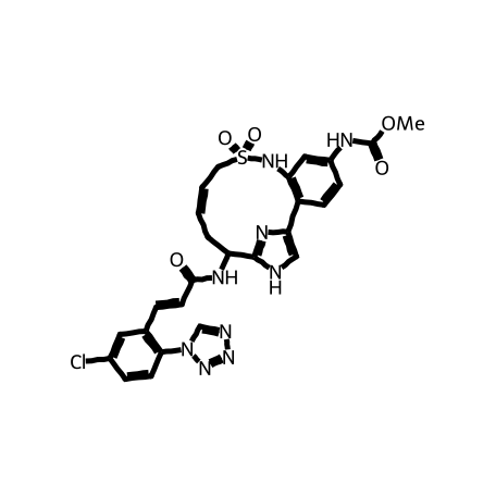 COC(=O)Nc1ccc2c(c1)NS(=O)(=O)CC=CCC(NC(=O)C=Cc1cc(Cl)ccc1-n1cnnn1)c1nc-2c[nH]1